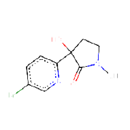 CN1CCC(O)(c2ccc(Br)cn2)C1=O